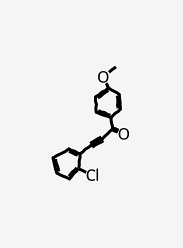 COc1ccc(C(=O)C#Cc2ccccc2Cl)cc1